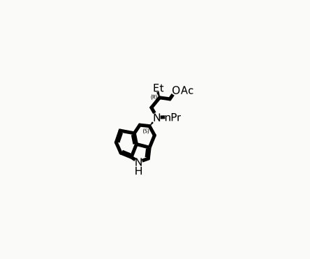 CCCN(C[C@@H](CC)COC(C)=O)[C@H]1Cc2cccc3[nH]cc(c23)C1